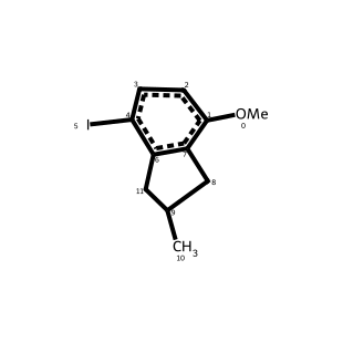 COc1ccc(I)c2c1CC(C)C2